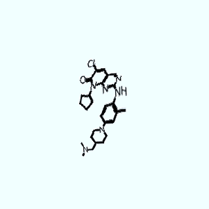 Cc1cc(N2CCC(CN(C)C)CC2)ccc1Nc1ncc2cc(Cl)c(=O)n(C3CCCC3)c2n1